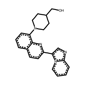 OCC1CCN(c2cccc3ccc(-c4cnc5ccccn45)nc23)CC1